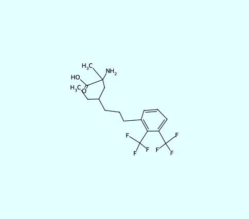 CCC(CCCc1cccc(C(F)(F)F)c1C(F)(F)F)CC(C)(N)C(=O)O